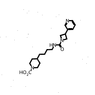 O=C(O)N1CCC(CCCCNC(=O)N2CC(c3cccnc3)C2)CC1